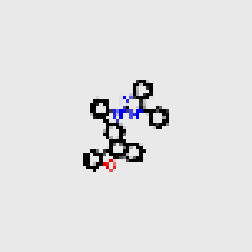 c1ccc(-c2nc(-n3c4ccccc4c4cc5c(cc43)c3ccccc3c3oc4ccccc4c53)nc3ccccc23)cc1